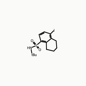 CC(C)(C)NS(=O)(=O)c1ccc(I)c2c1CCCC2